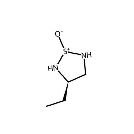 CC[C@@H]1CN[S+]([O-])N1